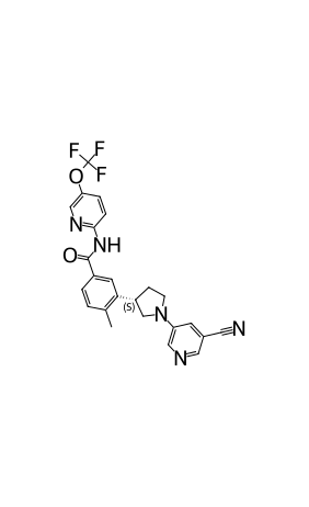 Cc1ccc(C(=O)Nc2ccc(OC(F)(F)F)cn2)cc1[C@@H]1CCN(c2cncc(C#N)c2)C1